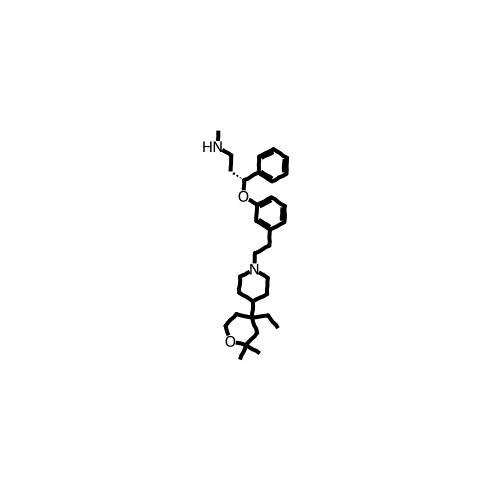 CCC1(C2CCN(CCc3cccc(O[C@H](CCNC)c4ccccc4)c3)CC2)CCOC(C)(C)C1